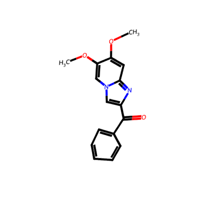 COc1cc2nc(C(=O)c3ccccc3)cn2cc1OC